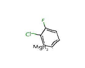 Fc1cc[c]cc1Cl.[MgH2]